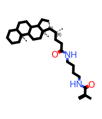 C=C(C)C(=O)NCCCCNC(=O)CC[C@@H](C)[C@H]1CCC2C3CCC4CCCC[C@]4(C)C3CC[C@@]21C